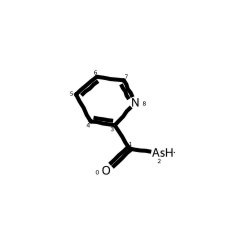 O=C([AsH])c1ccccn1